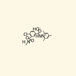 Cc1cc(C)[n+](NC(=O)c2ccc(Cl)c(S(N)(=O)=O)c2)c(C)c1.[OH-]